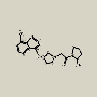 N#CC1CCCN1C(=O)CN1CC[C@H](Oc2ccnc3c(C(F)(F)F)cccc23)C1